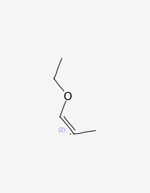 C/[C]=C\OCC